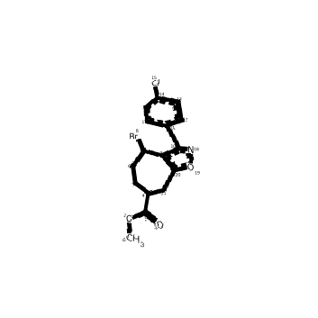 COC(=O)C1CCC(Br)c2c(-c3ccc(Cl)cc3)noc2C1